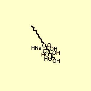 CCCCCCCCCCOC(=O)C(=O)[C@H](O)[C@@H](O)[C@H](O)[C@H](O)CO.[NaH]